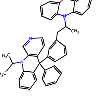 CC(C)N1c2ccccc2C(c2ccccc2)(c2cccc(CC(C)N3c4ccccc4Oc4ccccc43)c2)c2ccncc21